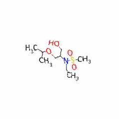 CCN(C(CO)COC(C)C)S(C)(=O)=O